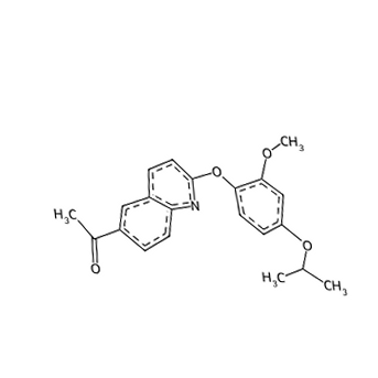 COc1cc(OC(C)C)ccc1Oc1ccc2cc(C(C)=O)ccc2n1